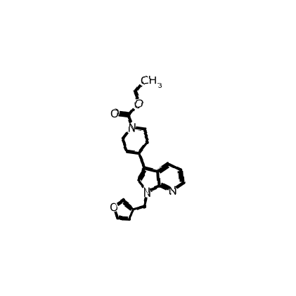 CCOC(=O)N1CCC(c2cn(Cc3ccoc3)c3ncccc23)CC1